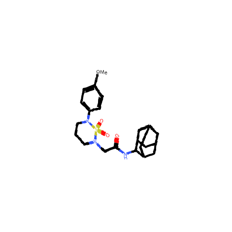 COc1ccc(N2CCCN(CC(=O)NC3C4CC5CC(C4)CC3C5)S2(=O)=O)cc1